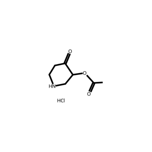 CC(=O)OC1CNCCC1=O.Cl